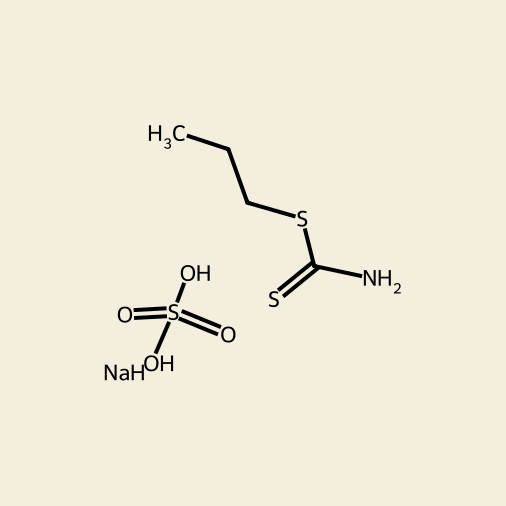 CCCSC(N)=S.O=S(=O)(O)O.[NaH]